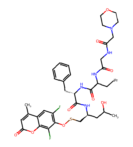 Cc1cc(=O)oc2c(F)c(OSC[C@H](CC(C)O)NC(=O)[C@H](Cc3ccccc3)NC(=O)C(CC(C)C)NC(=O)CNC(=O)CN3CCOCC3)c(F)cc12